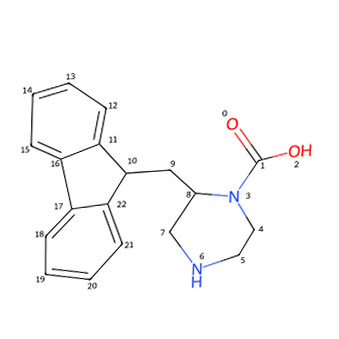 O=C(O)N1CCNCC1CC1c2ccccc2-c2ccccc21